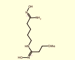 COCC/C(=N/O)NCCCC/C(N)=N/O